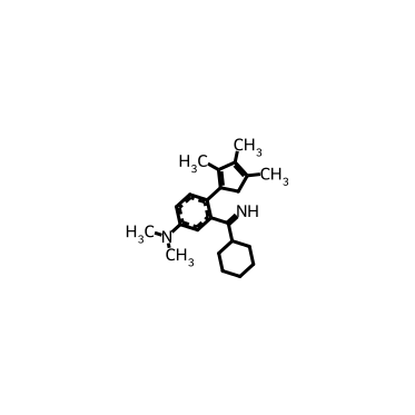 CC1=C(C)C(C)=C(c2ccc(N(C)C)cc2C(=N)C2CCCCC2)C1